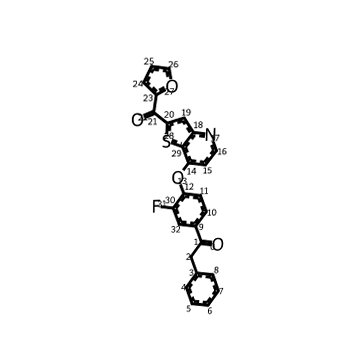 O=C(Cc1ccccc1)c1ccc(Oc2ccnc3cc(C(=O)c4ccco4)sc23)c(F)c1